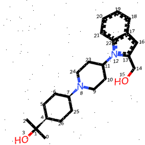 CC(C)(O)[C@H]1CC[C@@H](N2CCC(n3c(CO)cc4ccccc43)CC2)CC1